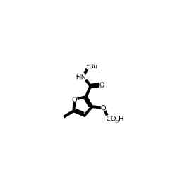 Cc1cc(OC(=O)O)c(C(=O)NC(C)(C)C)o1